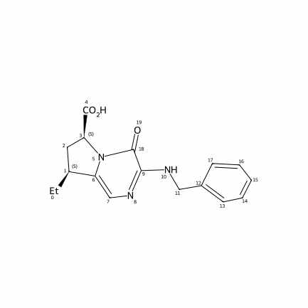 CC[C@H]1C[C@@H](C(=O)O)n2c1cnc(NCc1ccccc1)c2=O